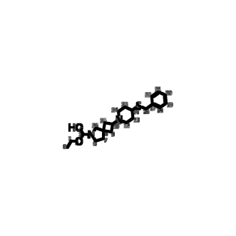 CCOC(O)N1CCC2(CC(N3CCC(SCc4ccccc4)CC3)C2)C1